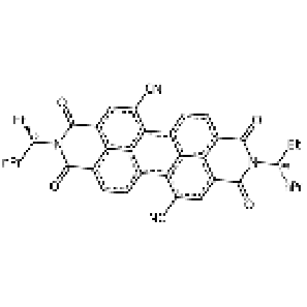 CCC[C@@H](CC)N1C(=O)c2ccc3c4c(C#N)cc5c6c(ccc(c7c(C#N)cc(c2c37)C1=O)c64)C(=O)N([C@H](CC)CCC)C5=O